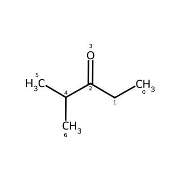 CCC(=O)C(C)C